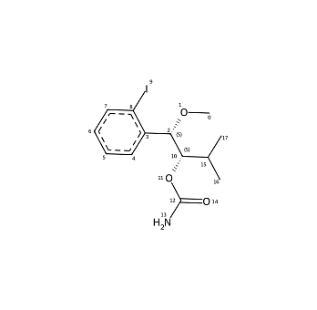 CO[C@@H](c1ccccc1I)[C@@H](OC(N)=O)C(C)C